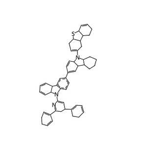 C1=CCCC(C2C=C(N3c4ccc(C5=CC6C7CCCCC7N(C7=CCC8SC9C=CCCC9C8C7)C6C=C5)cc4C4C=CC=CC43)N=C(C3=CCCC=C3)C2)=C1